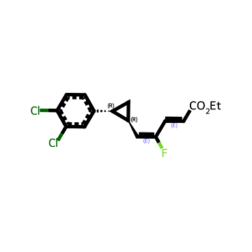 CCOC(=O)/C=C/C(F)=C\[C@@H]1C[C@H]1c1ccc(Cl)c(Cl)c1